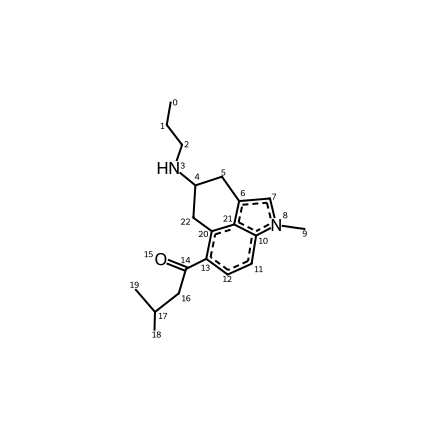 CCCNC1Cc2cn(C)c3ccc(C(=O)CC(C)C)c(c23)C1